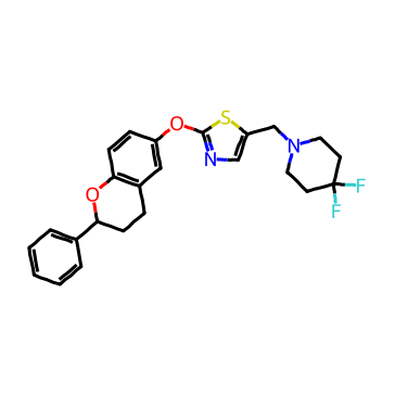 FC1(F)CCN(Cc2cnc(Oc3ccc4c(c3)CCC(c3ccccc3)O4)s2)CC1